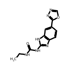 CCNC(=O)Nc1nc2ccc(-c3nnco3)cc2[nH]1